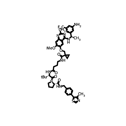 COc1cc2nc(C)nc(N[C@H](C)c3cc(N)cc(C(F)(F)F)c3)c2cc1OCC1(C(=O)NCCCC(=O)N[C@H](C(=O)N2CCC[C@H]2C(=O)NCc2ccc(-c3scnc3C)cc2)C(C)(C)C)CC1